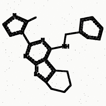 Cc1nccn1-c1nc(NCc2ccccc2)c2c3c(sc2n1)CCCC3